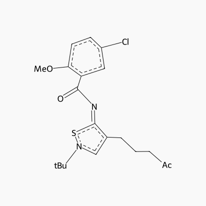 COc1ccc(Cl)cc1C(=O)/N=c1\sn(C(C)(C)C)cc1CCCC(C)=O